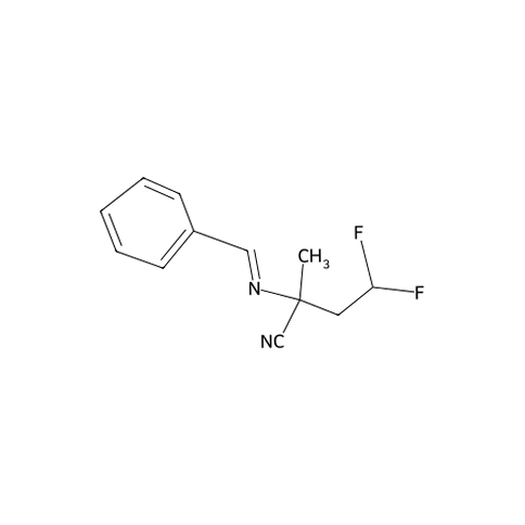 CC(C#N)(CC(F)F)N=Cc1ccccc1